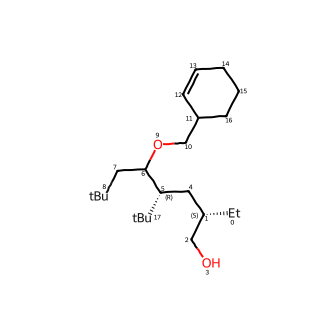 CC[C@H](CO)C[C@@H](C(CC(C)(C)C)OCC1C=CCCC1)C(C)(C)C